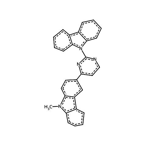 Cn1c2ccccc2c2cc(-c3ccnc(-n4c5ccccc5c5ccccc54)n3)ccc21